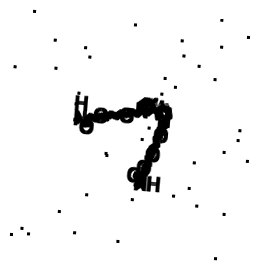 CNC(=O)CCOCCCCOCCN1CC[C@@H](C)C(C2CN(CCOCCCOCCOCC(=O)NC)CC[C@@H]2C)C1